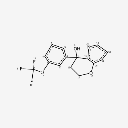 OC1(c2cccc(OC(F)(F)F)c2)CCOc2cccnc21